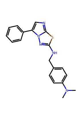 CN(C)c1ccc(CNc2nn3c(-c4ccccc4)cnc3s2)cc1